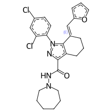 O=C(NN1CCCCCC1)c1nn(-c2ccc(Cl)cc2Cl)c2c1CCC/C2=C\c1ccco1